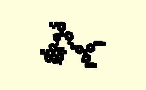 COc1ccc(B(c2ccc(OC)cc2)c2ccc(OCCc3cccc(B(c4cccc(C)c4)c4cccc(Cc5ccc(C)c(B(c6ccccc6C)c6ccccc6C)c5)c4)c3)cc2)cc1